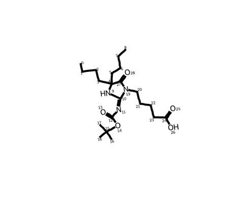 CCCCC1(CCCC)N/C(=N\C(=O)OC(C)(C)C)N(CCCCC(=O)O)C1=O